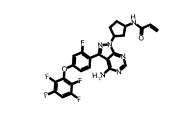 C=CC(=O)NC1CCC(n2nc(-c3ccc(Oc4c(F)c(F)cc(F)c4F)cc3F)c3c(N)ncnc32)C1